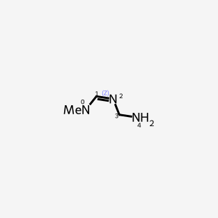 CN/C=N\CN